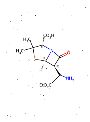 CCOC(=O)C(N)[C@@H]1C(=O)N2[C@@H]1SC(C)(C)[C@@H]2C(=O)O